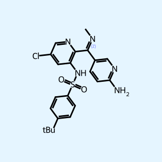 C/N=C(/c1ccc(N)nc1)c1ncc(Cl)cc1NS(=O)(=O)c1ccc(C(C)(C)C)cc1